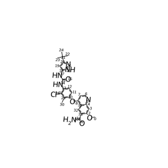 COc1cc2nccc(Oc3ccc(NC(=O)Nc4cc(C(C)(C)C)n[nH]4)c(Cl)c3C)c2cc1C(N)=O